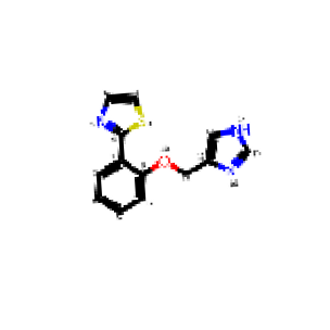 c1ccc(-c2nccs2)c(OCc2c[nH]cn2)c1